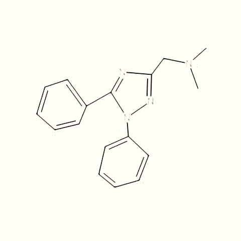 CN(C)Cc1nc(-c2ccccc2)n(-c2ccccc2)n1